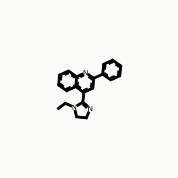 CCN1CCN=C1c1cc(-c2ccccc2)nc2ccccc12